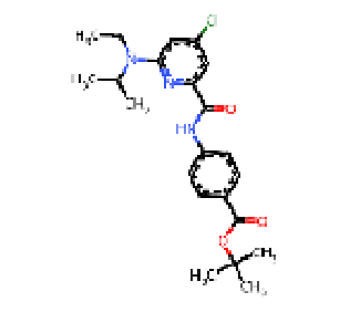 CCN(c1cc(Cl)cc(C(=O)Nc2ccc(C(=O)OC(C)(C)C)cc2)n1)C(C)C